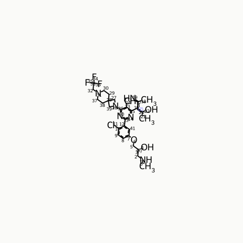 CNC[C@@H](O)COc1ccc(Cl)c(-c2nc(/C(C(C)=N)=C(\C)O)c(C)c(N3CC4(CCN(CC(F)(F)F)CC4)C3)n2)c1